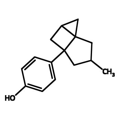 CC1CC2(c3ccc(O)cc3)CC3CC32C1